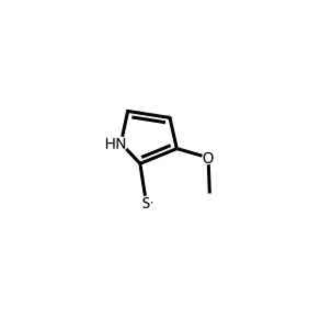 COc1cc[nH]c1[S]